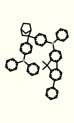 CC1(C)c2cc(-c3ccccc3)ccc2-c2ccc(N(c3ccccc3)c3ccc(C4(c5ccc(N(c6ccccc6)c6ccccc6)cc5)CC5CCC4C5)cc3)cc21